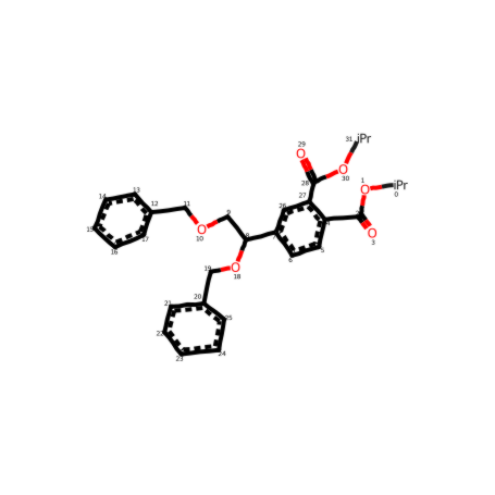 CC(C)OC(=O)c1ccc(C(COCc2ccccc2)OCc2ccccc2)cc1C(=O)OC(C)C